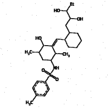 CCC(O)C(O)CC1CCCCC1/C=C1\C(C)C(NS(=O)(=O)c2ccc(C)cc2)CC(C)C1O